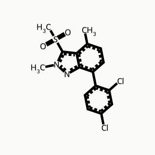 Cc1ccc(-c2ccc(Cl)cc2Cl)c2nn(C)c(S(C)(=O)=O)c12